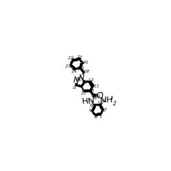 Nc1ccccc1NC(=O)c1ccc2c(cnn2Cc2ccccc2)c1